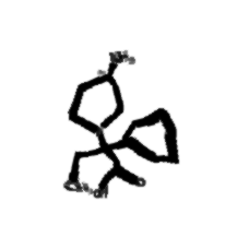 CCC(C(=O)O)(c1ccccc1)N1CC[C@@H](N)C1